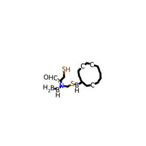 BBN(CSBC1CCCCCCCCCCC1)[C@H](C=O)CS